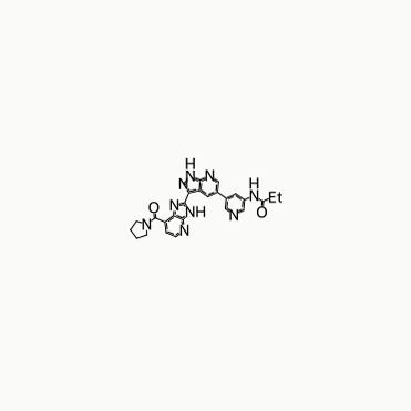 CCC(=O)Nc1cncc(-c2cnc3[nH]nc(-c4nc5c(C(=O)N6CCCC6)ccnc5[nH]4)c3c2)c1